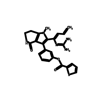 C=C/C=C(\N=C(N)N)c1c(-c2cccc(OC(=O)c3cccs3)c2)c2c(n1C)CCNC2=O